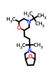 CC1CN(C(C)(C)C)CC(CCC(C)(C)N2CC3CCC(C2)O3)O1